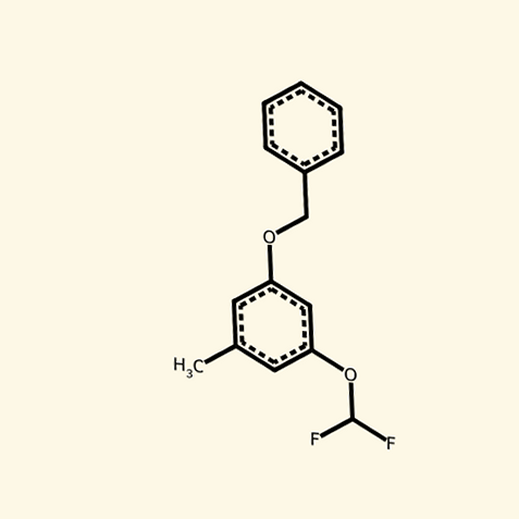 Cc1cc(OCc2ccccc2)cc(OC(F)F)c1